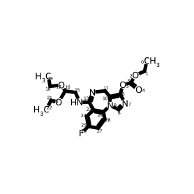 CCOC(=O)Oc1ncn2c1CN=C(NCC(OCC)OCC)c1cc(F)ccc1-2